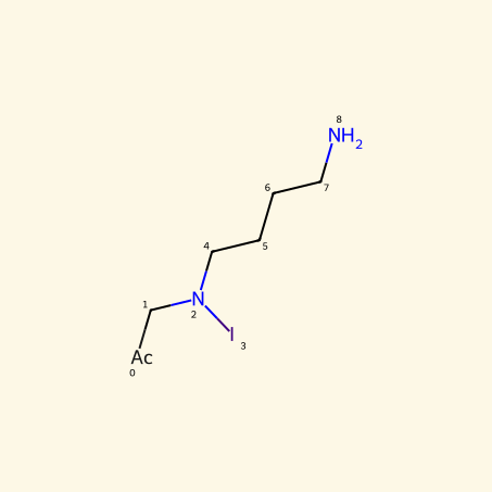 CC(=O)CN(I)CCCCN